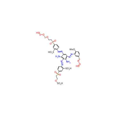 COc1ccc(SOOO)cc1/N=N/c1cc(/N=N/c2ccc(S(=O)(=O)CCOSOOO)cc2S(=O)(=O)O)c(N)c(/N=N/c2ccc(S(=O)(=O)CCOS(=O)(=O)O)cc2S(=O)(=O)O)c1N